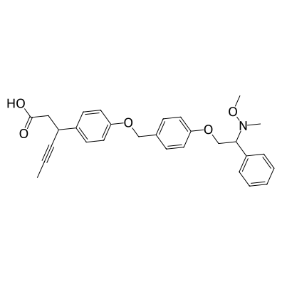 CC#CC(CC(=O)O)c1ccc(OCc2ccc(OCC(c3ccccc3)N(C)OC)cc2)cc1